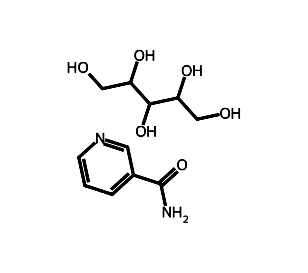 NC(=O)c1cccnc1.OCC(O)C(O)C(O)CO